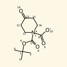 CC(C)(C)OC(=O)[N+]1(C(=O)[O-])CCC(=O)CC1